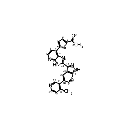 CC(=O)c1ccc(-c2ccnc3[nH]c(-c4n[nH]c5ncc(-c6cnccc6C)cc45)nc23)s1